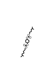 CC(C)CCCCCOC(=O)OC1CCC(OC(=O)OCCCCC(C)C)CC1